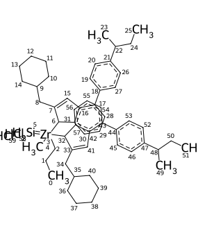 CC[CH2][Zr]([CH3])(=[SiH2])([CH]1C(CC2CCCCC2)=Cc2c(-c3ccc(C(C)CC)cc3)cccc21)[CH]1C(CC2CCCCC2)=Cc2c(-c3ccc(C(C)CC)cc3)cccc21.Cl.Cl